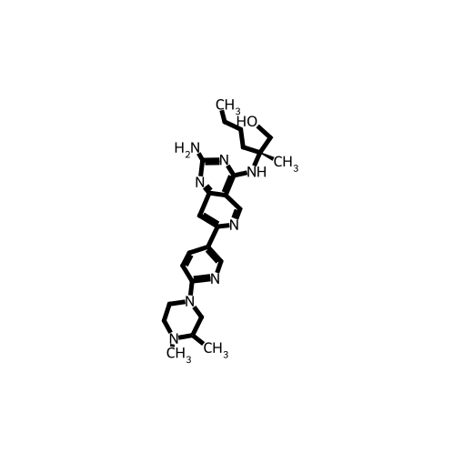 CCCC[C@](C)(CO)Nc1nc(N)nc2cc(-c3ccc(N4CCN(C)C(C)C4)nc3)ncc12